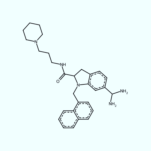 NC(N)c1ccc2c(c1)N(Cc1cccc3ccccc13)C(C(=O)NCCCN1CCCCC1)C2